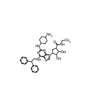 CCNC(=O)C1CC(n2cnc3c(NCC(c4ccccc4)c4ccccc4)nc(NC4CCC(N)CC4)nc32)C(O)C1O